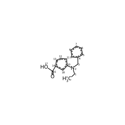 CCN(Cc1ccccc1)c1cccc(C(=O)O)c1